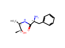 C[C@H](O)[C@H](NC(=O)[C@@H](N)Cc1ccccc1)C(=O)O